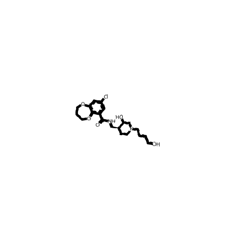 O=C(NC[C@@H]1CCN(CCCCO)CC1O)c1cc(Cl)cc2c1OCCCO2